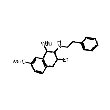 CCCCC1c2cc(OC)ccc2CC(CC)C1NCCc1ccccc1